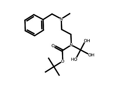 CN(CCN(C(=O)OC(C)(C)C)C(O)(O)O)Cc1ccccc1